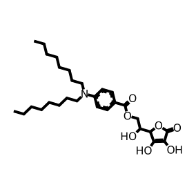 CCCCCCCCN(CCCCCCCC)c1ccc(C(=O)OCC(O)C2OC(=O)C(O)=C2O)cc1